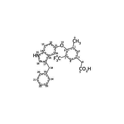 Cc1cc(CC(=O)O)cc(C(F)(F)F)c1Oc1ccc2[nH]cc(Cc3ccccc3)c2c1